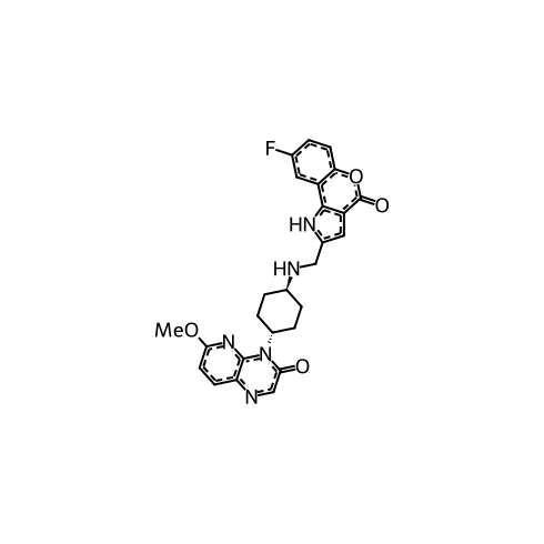 COc1ccc2ncc(=O)n([C@H]3CC[C@H](NCc4cc5c(=O)oc6ccc(F)cc6c5[nH]4)CC3)c2n1